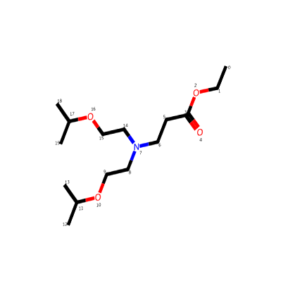 CCOC(=O)CCN(CCOC(C)C)CCOC(C)C